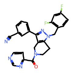 N#Cc1cccc(-c2nn(Cc3ccc(F)cc3F)c3c2CN(C(=O)c2ccncn2)CC3)c1